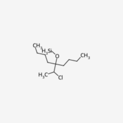 CCCCC(CCCC)(O[SiH3])C(C)Cl